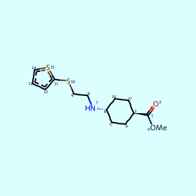 COC(=O)[C@H]1CC[C@H](NCCSc2cccs2)CC1